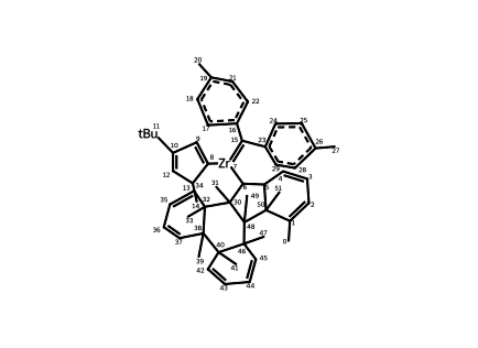 CC1=CC=CC2[CH]([Zr]([C]3=CC(C(C)(C)C)=CC3C)=[C](c3ccc(C)cc3)c3ccc(C)cc3)C3(C)C4(C)C=CC=CC4(C)C4(C)C=CC=CC4(C)C3(C)C12C